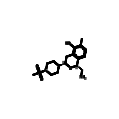 Cc1ccc2c(c1O)C[C@@H](C1CCN(S(C)(=O)=O)CC1)O[C@H]2CN